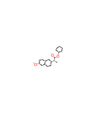 COc1ccc2cc([C@H](C)C(=O)Oc3ccccc3)ccc2c1